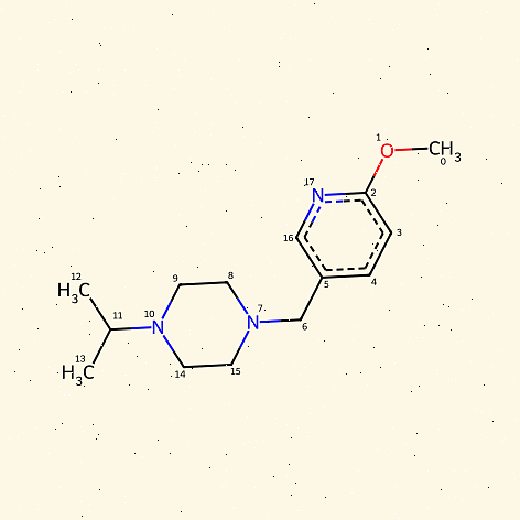 COc1ccc(CN2CCN(C(C)C)CC2)cn1